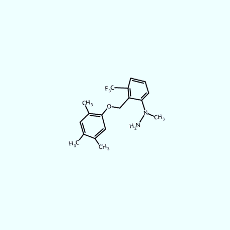 Cc1cc(C)c(OCc2c(N(C)N)cccc2C(F)(F)F)cc1C